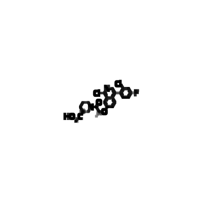 C[C@@H](Oc1ccc2c(-c3ccc(F)cc3Cl)cnc(Cl)c2c1)C(=O)N1CCC[C@H](C(=O)O)C1